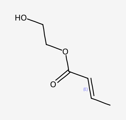 C/C=C/C(=O)OCCO